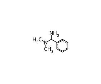 CN(C)C(N)c1ccccc1